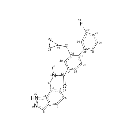 CN(Cc1cccc2cn[nH]c12)C(=O)c1ccc(-c2cccc(F)c2)c(CC2CC2)c1